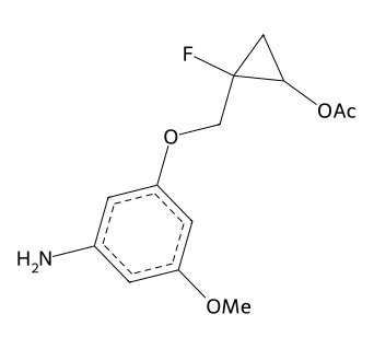 COc1cc(N)cc(OCC2(F)CC2OC(C)=O)c1